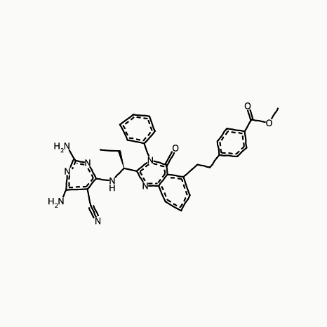 CC[C@H](Nc1nc(N)nc(N)c1C#N)c1nc2cccc(CCc3ccc(C(=O)OC)cc3)c2c(=O)n1-c1ccccc1